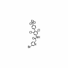 CCS(=O)(=O)c1ccc(-c2c(Cl)cc(NC(=O)Cc3ccc(Br)cn3)cc2Cl)cc1